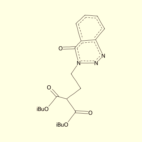 CC(C)COC(=O)C(CCn1nnc2ccccc2c1=O)C(=O)OCC(C)C